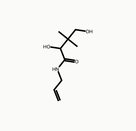 C=CCNC(=O)C(O)C(C)(C)CO